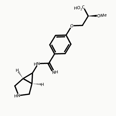 CO[C@@H](COc1ccc(C(=N)NC2[C@H]3CNC[C@@H]23)cc1)C(=O)O